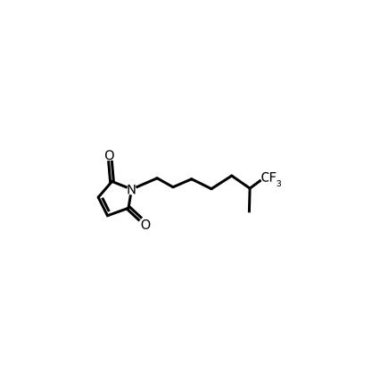 CC(CCCCCN1C(=O)C=CC1=O)C(F)(F)F